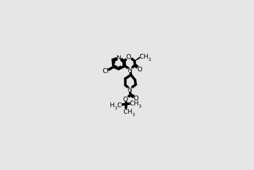 C[C@@H]1Oc2ncc(Cl)cc2N(C2CCN(C(=O)OC(C)(C)C)CC2)C1=O